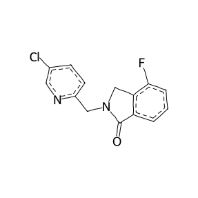 O=C1c2cccc(F)c2CN1Cc1ccc(Cl)cn1